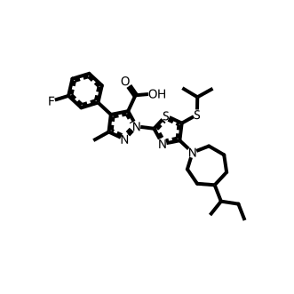 CCC(C)C1CCCN(c2nc(-n3nc(C)c(-c4cccc(F)c4)c3C(=O)O)sc2SC(C)C)CC1